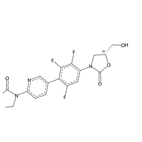 O=C1CCCN1c1ccc(-c2c(F)cc(N3C[C@H](CO)OC3=O)c(F)c2F)cn1